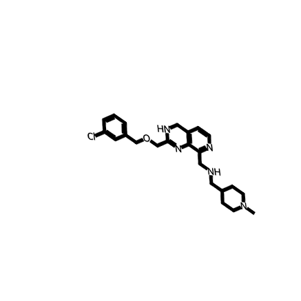 CN1CCC(CNCc2nccc3c2N=C(COCc2cccc(Cl)c2)NC3)CC1